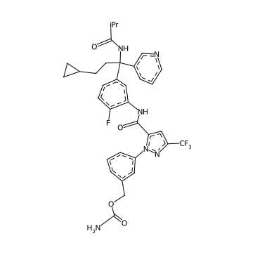 CC(C)C(=O)NC(CCC1CC1)(c1cccnc1)c1ccc(F)c(NC(=O)c2cc(C(F)(F)F)nn2-c2cccc(COC(N)=O)c2)c1